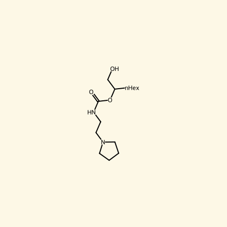 CCCCCCC(CO)OC(=O)NCCN1CCCC1